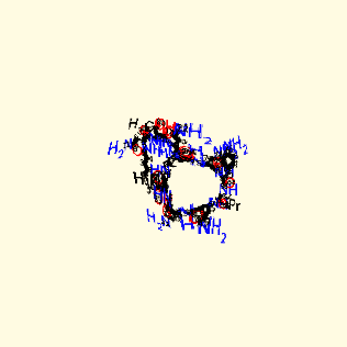 CC[C@H](C)CCCCC(=O)N[C@@H](CCN)C(=O)N[C@H](C(=O)N[C@@H](CCN)C(=O)N[C@H]1CCNC(=O)[C@H]([C@@H](C)O)NC(=O)[C@H](CCN)NC(=O)[C@H](CCN)NC(=O)[C@H](CC(C)C)NC(=O)[C@@H](Cc2ccc(N)cc2)NC(=O)[C@H](CCN)NC1=O)[C@@H](C)O